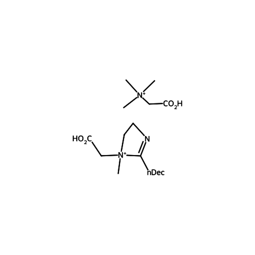 CCCCCCCCCCC1=NCC[N+]1(C)CC(=O)O.C[N+](C)(C)CC(=O)O